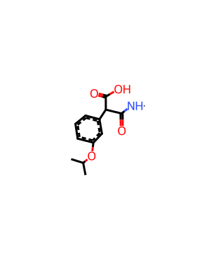 CC(C)Oc1cccc(C(C([NH])=O)C(=O)O)c1